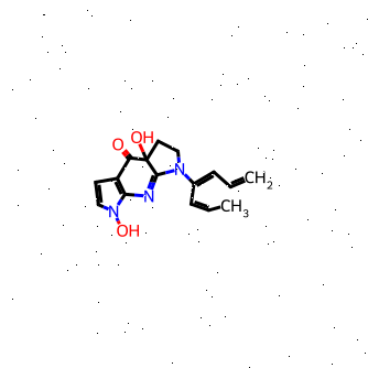 C=C/C=C(\C=C/C)N1CCC2(O)C(=O)c3ccn(O)c3N=C12